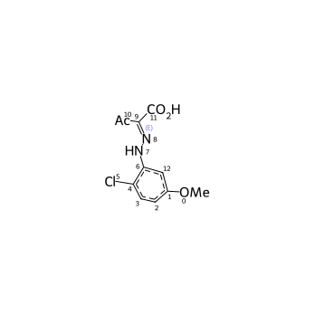 COc1ccc(Cl)c(N/N=C(\C(C)=O)C(=O)O)c1